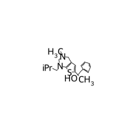 CC(C)CN1CN(C)Cc2cc(C(C)(O)c3ccccc3)sc21